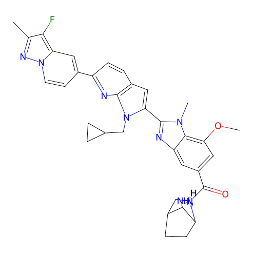 COc1cc(C(=O)N2CC3CCC2[C@@H]3N)cc2nc(-c3cc4ccc(-c5ccn6nc(C)c(F)c6c5)nc4n3CC3CC3)n(C)c12